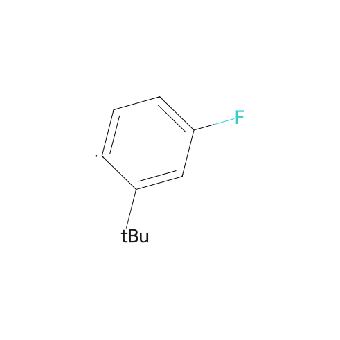 CC(C)(C)c1[c]ccc(F)c1